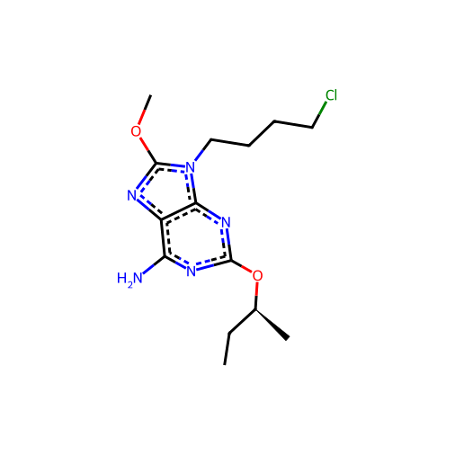 CC[C@H](C)Oc1nc(N)c2nc(OC)n(CCCCCl)c2n1